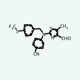 Cc1sc(N(Cc2ccc(SC(F)(F)F)cc2)c2ccc(C#N)cc2)nc1C=O